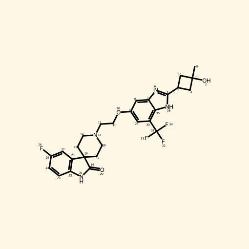 CC1(O)CC(c2nc3cc(OCCN4CCC5(CC4)C(=O)Nc4ccc(F)cc45)cc(C(F)(F)F)c3[nH]2)C1